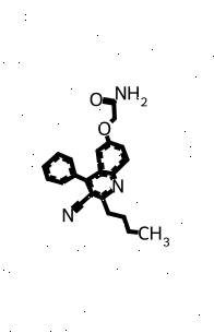 CCCCc1nc2ccc(OCC(N)=O)cc2c(-c2ccccc2)c1C#N